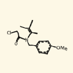 COc1ccc(CN(C(=O)CCl)C(C)=C(C)C)cc1